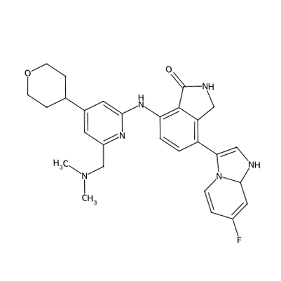 CN(C)Cc1cc(C2CCOCC2)cc(Nc2ccc(C3=CNC4C=C(F)C=CN34)c3c2C(=O)NC3)n1